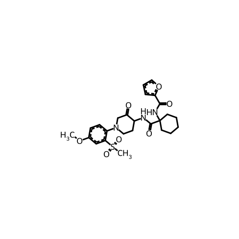 COc1ccc(N2CCC(NC(=O)C3(NC(=O)c4ccco4)CCCCC3)C(=O)C2)c(S(C)(=O)=O)c1